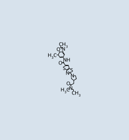 CCN(C)C(=O)CC1CCN(c2nc3sc(C(=O)NC4=CC(C)C5OC(C)=NC5=C4)cc3s2)C1